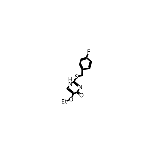 CCOc1c[nH]c(SCc2ccc(F)cc2)nc1=O